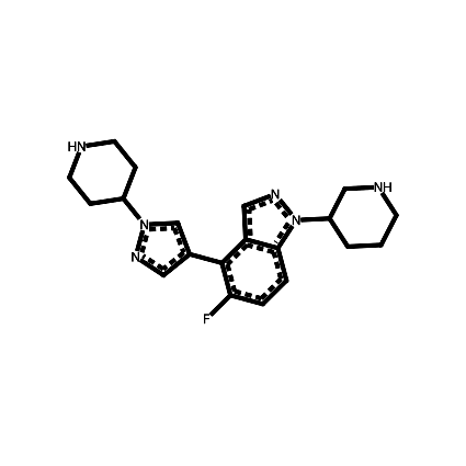 Fc1ccc2c(cnn2C2CCCNC2)c1-c1cnn(C2CCNCC2)c1